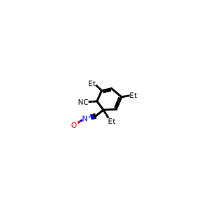 CCC1=CC(C#[N+][O-])(CC)C(C#N)C(CC)=C1